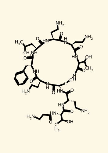 CC(C)C[C@@H]1NC(=O)[C@@H](Cc2ccccc2)NC(=O)[C@H](CCN)NC(=O)[C@@H](NC(=O)[C@H](CCN)NC(=O)[C@@H](NC(=O)CCN)C(C)O)CCNC(=O)C(C(C)O)NC(=O)[C@H](CCN)NC(=O)[C@H](CCN)NC1=O